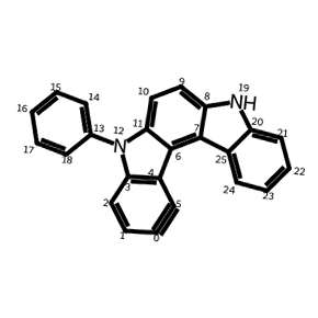 c1ccc2c(c#1)c1c3c(ccc1n2-c1ccccc1)[nH]c1ccccc13